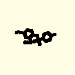 CCCc1ccc(OS(=O)(=O)c2ccc(C)cc2)c(OC)c1